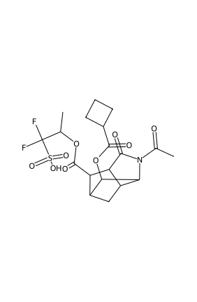 CC(=O)N1C(=O)C2C3CC(C(OC(=O)C4CCC4)C31)C2C(=O)OC(C)C(F)(F)S(=O)(=O)O